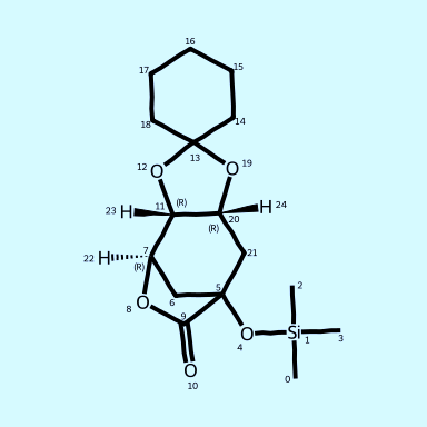 C[Si](C)(C)OC12C[C@@H](OC1=O)[C@@H]1OC3(CCCCC3)O[C@@H]1C2